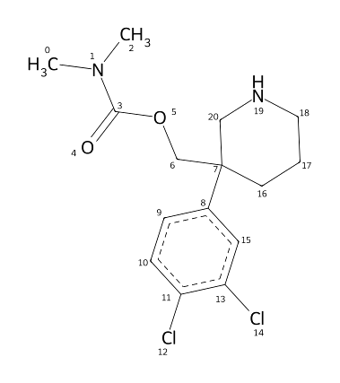 CN(C)C(=O)OCC1(c2ccc(Cl)c(Cl)c2)CCCNC1